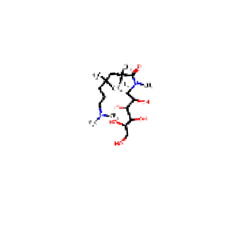 CN(CC(O)C(O)C(O)C(O)CO)C(=O)C(C)(C)CC(C)(C)CCCN(C(F)(F)F)C(F)(F)F